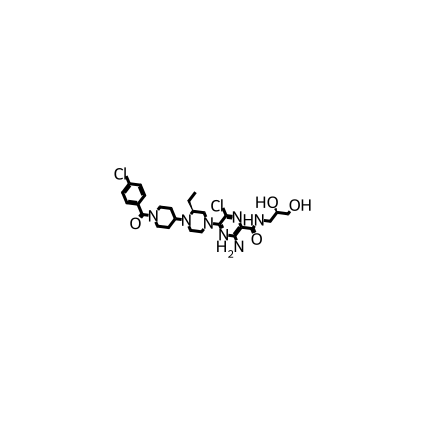 CC[C@H]1CN(c2nc(N)c(C(=O)NC[C@@H](O)CO)nc2Cl)CCN1C1CCN(C(=O)c2ccc(Cl)cc2)CC1